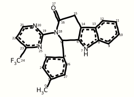 Cc1ccc(C2c3[nH]c4ccccc4c3CC(=O)N2c2nccc(C(F)(F)F)n2)cc1